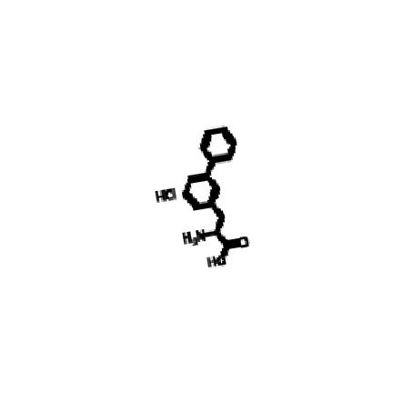 Cl.NC(Cc1cccc(-c2ccccc2)c1)C(=O)O